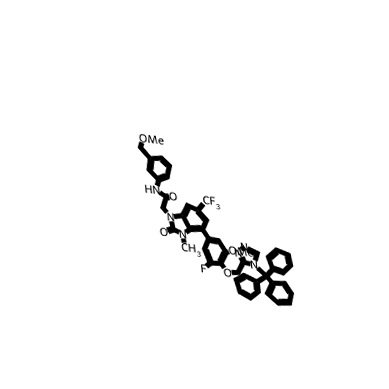 COCc1cccc(NC(=O)Cn2c(=O)n(C)c3c(-c4cc(F)c(OCc5nncn5C(c5ccccc5)(c5ccccc5)c5ccccc5)c(OC)c4)cc(C(F)(F)F)cc32)c1